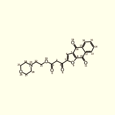 O=C(CC(=O)c1cc2c(o1)C(=O)c1ccccc1C2=O)OCCN1CCOCC1